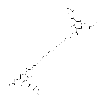 CC(O)C(=O)Nc1c(I)c(C(=O)NCCCOCOCCOCCOCCNC(=O)c2c(I)c(NC(=O)C(C)O)c(I)c(C(=O)NC(C)(CO)CO)c2I)c(I)c(C(=O)NC(C)(CO)CO)c1I